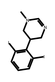 CN1C=NCC(c2c(I)cccc2I)C1